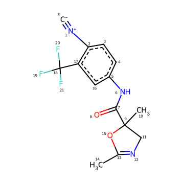 [C-]#[N+]c1ccc(NC(=O)C2(C)CN=C(C)O2)cc1C(F)(F)F